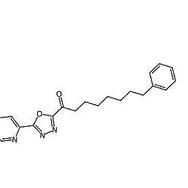 O=C(CCCCCCCc1ccccc1)c1nnc(-c2ccccn2)o1